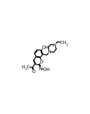 CCN1CCN(Cc2c(O)ccc3cc(C(C)=O)c(=NO)oc23)CC1